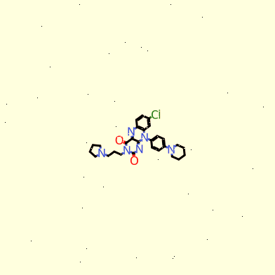 O=c1nc2n(-c3ccc(N4CCCCC4)cc3)c3cc(Cl)ccc3nc-2c(=O)n1CCCN1CCCC1